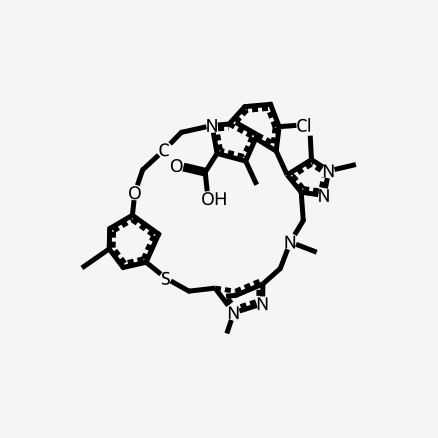 Cc1cc2cc(c1)SCc1cc(nn1C)CN(C)Cc1nn(C)c(C)c1-c1c(Cl)ccc3c1c(C)c(C(=O)O)n3CCCO2